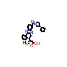 C[C@H](CCc1nc2cc(C(=O)N3CC[C@@H](c4ccccc4)C3)ccc2nc1-c1ccccc1)CC(=O)O